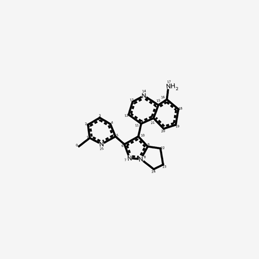 Cc1cccc(-c2nn3c(c2-c2ccnc4c(N)cccc24)CCC3)n1